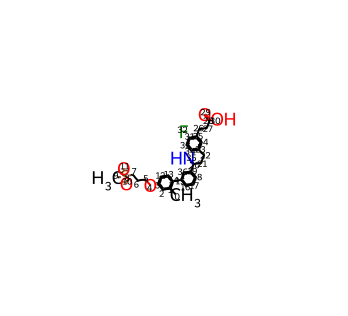 Cc1cc(OCCCS(C)(=O)=O)ccc1-c1cccc(C2CCc3cc(CCC(=O)O)c(F)cc3N2)c1